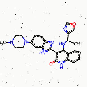 C[C@@H](Nc1c(-c2nc3ccc(N4CCN(C)CC4)cc3[nH]2)c(=O)[nH]c2ccccc12)c1cocn1